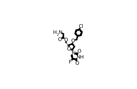 NCC(=O)OC[C@H]1O[C@@H](n2cc(F)c(=O)[nH]c2=O)C[C@@H]1OCc1ccc(Cl)cc1